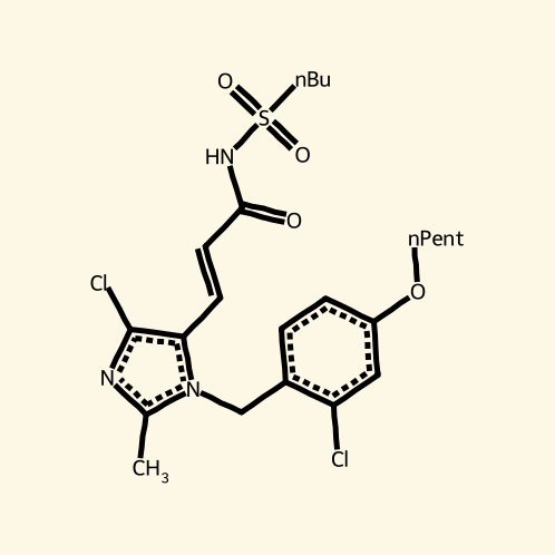 CCCCCOc1ccc(Cn2c(C)nc(Cl)c2C=CC(=O)NS(=O)(=O)CCCC)c(Cl)c1